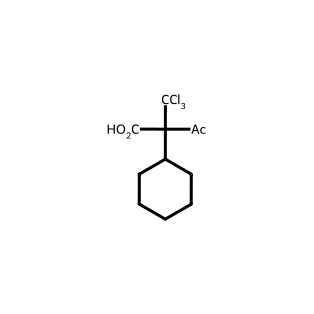 CC(=O)C(C(=O)O)(C1CCCCC1)C(Cl)(Cl)Cl